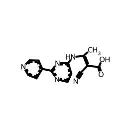 CC(Nc1ccnc(-c2ccncc2)n1)=C(C#N)C(=O)O